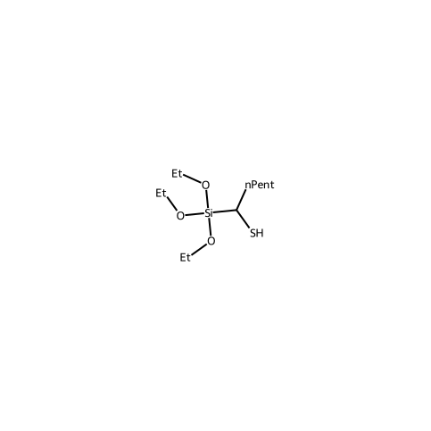 CCCCCC(S)[Si](OCC)(OCC)OCC